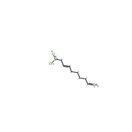 C=CCCCCC=CC[SiH](Cl)Cl